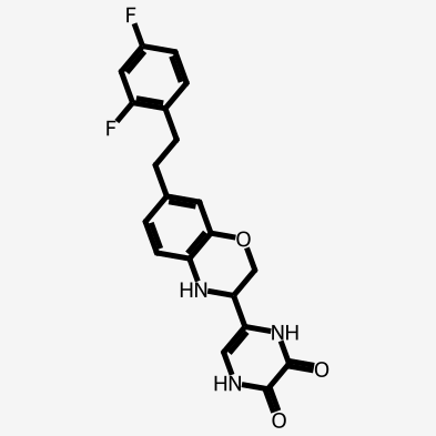 O=c1[nH]cc(C2COc3cc(CCc4ccc(F)cc4F)ccc3N2)[nH]c1=O